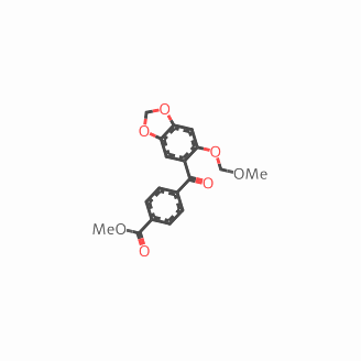 COCOc1cc2c(cc1C(=O)c1ccc(C(=O)OC)cc1)OCO2